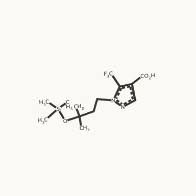 CC(C)(CCn1ncc(C(=O)O)c1C(F)(F)F)O[Si](C)(C)C